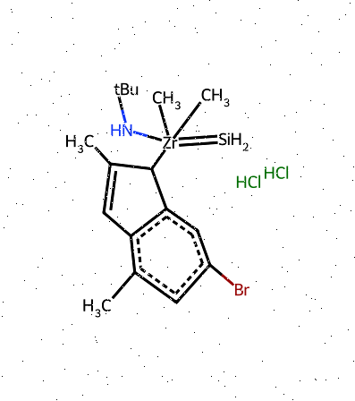 CC1=Cc2c(C)cc(Br)cc2[CH]1[Zr]([CH3])([CH3])(=[SiH2])[NH]C(C)(C)C.Cl.Cl